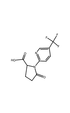 O=C(O)C1CCC(=O)N1c1ccc(C(F)(F)F)cn1